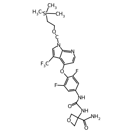 C[Si](C)(C)CCOCn1cc(C(F)(F)F)c2c(Oc3c(F)cc(NC(=O)NC4(C(N)=O)COC4)cc3F)ccnc21